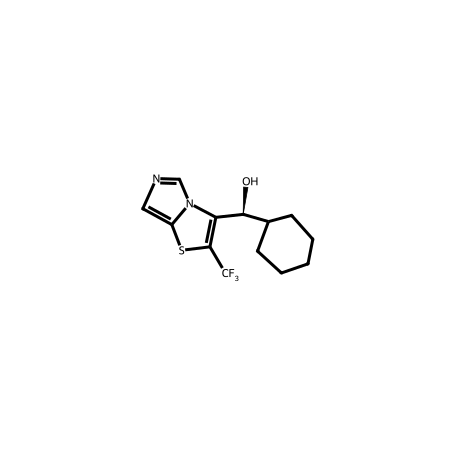 O[C@H](c1c(C(F)(F)F)sc2cncn12)C1CCCCC1